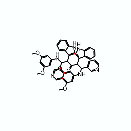 COc1cc(NC(c2cccnc2)C(C(=O)C(c2c[nH]c3ccccc23)C(Nc2cc(OC)cc(OC)c2)c2cccnc2)c2c[nH]c3ccccc23)cc(OC)c1